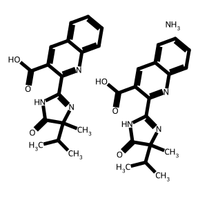 CC(C)C1(C)N=C(c2nc3ccccc3cc2C(=O)O)NC1=O.CC(C)C1(C)N=C(c2nc3ccccc3cc2C(=O)O)NC1=O.N